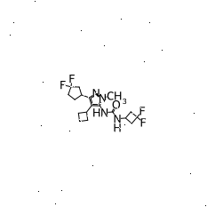 Cn1nc(C2CCC(F)(F)C2)c(C2CCC2)c1NC(=O)NC1CC(F)(F)C1